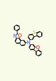 c1ccc(-c2nc3ccc4ccc(N(c5ccc6c(c5)oc5ccccc56)c5ccc6sc7ccccc7c6c5)cc4c3o2)cc1